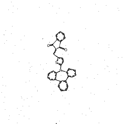 O=C1C(=Cc2ccc(N3c4ccccc4-c4ccccc4-c4ccccc43)s2)C(=O)c2ccccc21